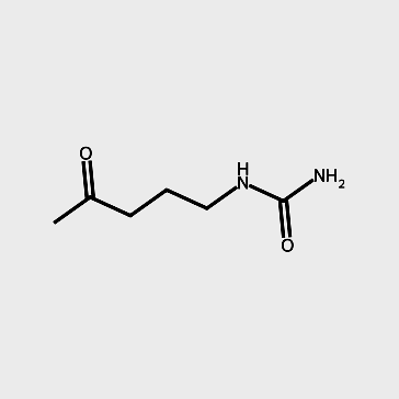 CC(=O)CCCNC(N)=O